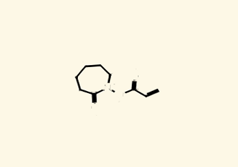 C=CC(=O)ON1CCCCCC1=O